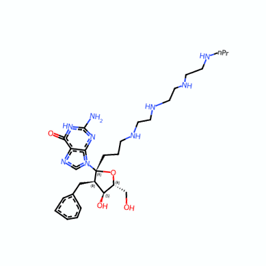 CCCNCCNCCNCCNCCC[C@@]1(n2cnc3c(=O)[nH]c(N)nc32)O[C@H](CO)[C@@H](O)[C@H]1Cc1ccccc1